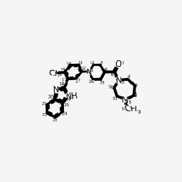 CN1CCCN(C(=O)C2CCN(c3ccc(Cl)c(-c4nc5ccccc5[nH]4)c3)CC2)CC1